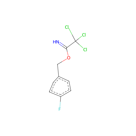 N=C(OCc1ccc(F)cc1)C(Cl)(Cl)Cl